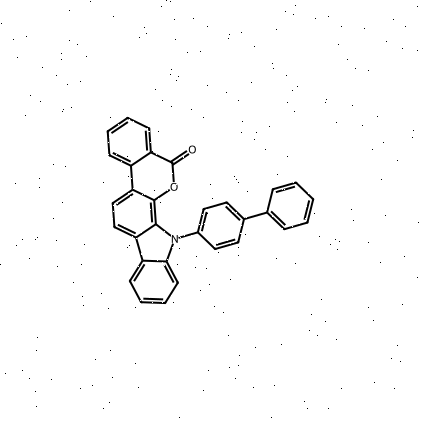 O=c1oc2c(ccc3c4ccccc4n(-c4ccc(-c5ccccc5)cc4)c32)c2ccccc12